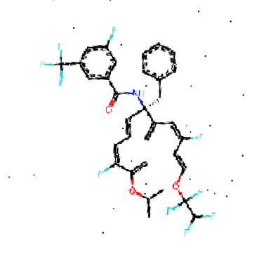 C=C(OC(C)C)/C(F)=C\C=C\[C@@](Cc1ccccc1)(NC(=O)c1cc(F)cc(C(F)(F)F)c1)C(=C)/C=C(F)\C=C\OC(F)(F)C(F)F